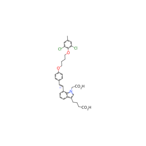 Cc1cc(Cl)c(OCCCCOc2ccc(/C=C/c3cccc4c(CCCC(=O)O)cn(CC(=O)O)c34)cc2)c(Cl)c1